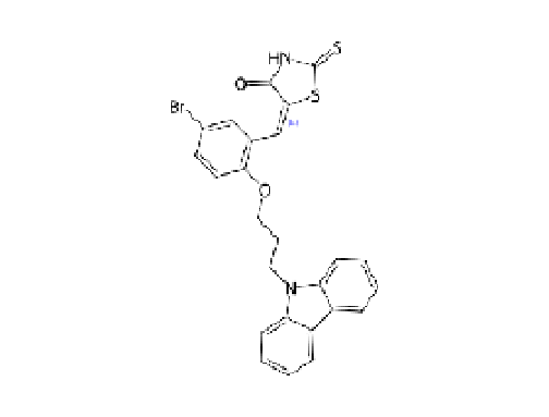 O=C1NC(=S)S/C1=C/c1cc(Br)ccc1OCCCn1c2ccccc2c2ccccc21